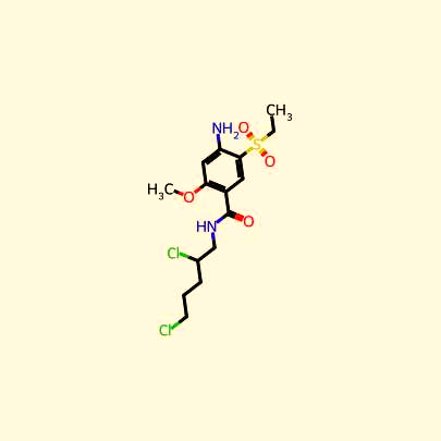 CCS(=O)(=O)c1cc(C(=O)NCC(Cl)CCCCl)c(OC)cc1N